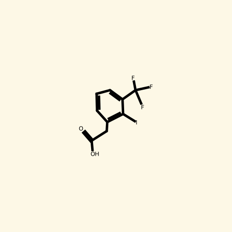 O=C(O)Cc1cccc(C(F)(F)F)c1I